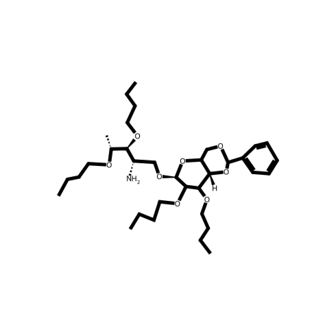 CCCCOC1C(OCCCC)[C@H]2OC(c3ccccc3)OCC2O[C@@H]1OC[C@H](N)[C@H](OCCCC)[C@@H](C)OCCCC